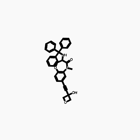 CN1C(=O)C(NC(c2ccccc2)(c2ccccc2)c2ccccc2)COc2ccc(C#CC3(O)COC3)cc21